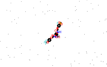 CS(=O)(=O)c1ccc(OCC(=O)NC23CCC(NC(=O)COc4ccc(OC(F)(F)F)cc4)(CC2)[C@@H](O)C3)cc1F